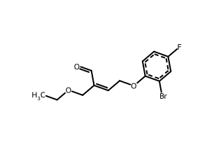 CCOC/C(C=O)=C/COc1ccc(F)cc1Br